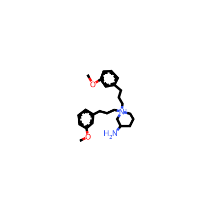 COc1cccc(CCC[N+]2(CCCc3cccc(OC)c3)CCCC(N)C2)c1